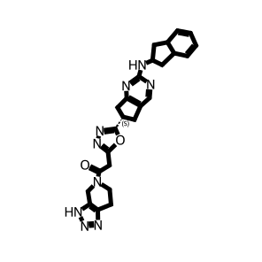 O=C(Cc1nnc([C@H]2Cc3cnc(NC4CC5C=CC=CC5C4)nc3C2)o1)N1CCc2nn[nH]c2C1